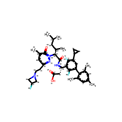 Cc1cc(C)c(-c2cc(C3CC3)c(F)c([C@H](CC(=O)O)NC(=O)[C@H](C([SiH3])CC(C)C)n3nc(CCN4CC(F)C4)cc(C)c3=O)c2F)c(C)c1